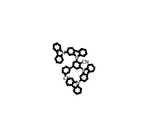 N#Cc1cccc(-c2cc(-n3c4ccccc4c4ccc(-n5c6ccccc6c6ccccc65)cc43)c(C#N)c(-n3c4ccccc4c4ccc(-n5c6ccccc6c6ccccc65)cc43)c2)c1